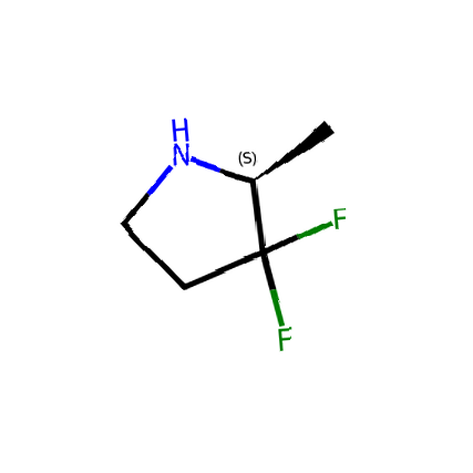 C[C@@H]1NCCC1(F)F